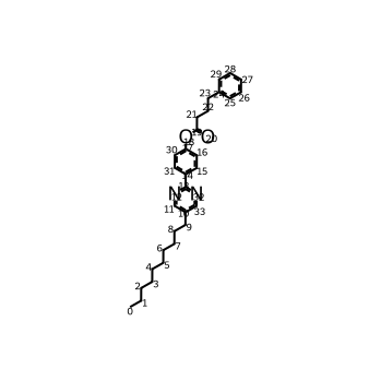 CCCCCCCCCCc1cnc(-c2ccc(OC(=O)CCCc3ccccc3)cc2)nc1